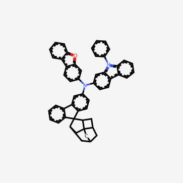 c1ccc(-n2c3ccccc3c3ccc(N(c4ccc5c(c4)-c4ccccc4C54C5CC6CC7CC4C7(C6)C5)c4ccc5c(c4)oc4ccccc45)cc32)cc1